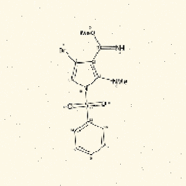 CNc1c(C(=N)OC)c(Br)cn1S(=O)(=O)c1ccccc1